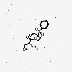 N[C@H](CO)C(=O)N1CCC1([C]=O)S(=O)(=O)c1ccccc1